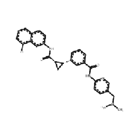 CN(C)Cc1ccc(NC(=O)c2cccc([C@@H]3C[C@H]3C(=O)Nc3ccc4cccc(Cl)c4c3)c2)nc1